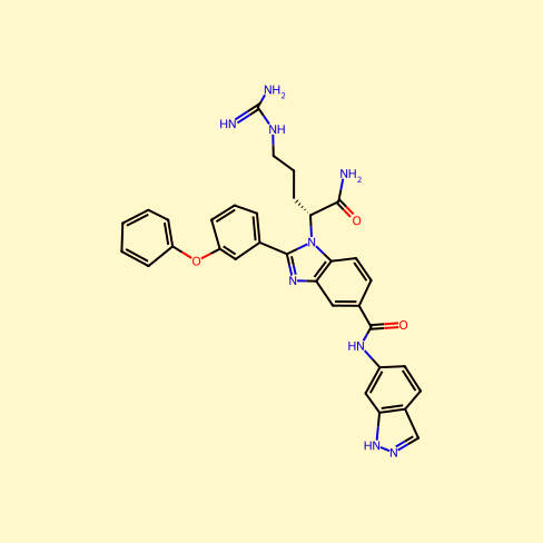 N=C(N)NCCC[C@H](C(N)=O)n1c(-c2cccc(Oc3ccccc3)c2)nc2cc(C(=O)Nc3ccc4cn[nH]c4c3)ccc21